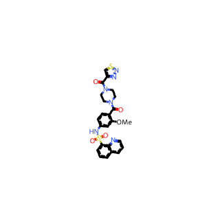 COc1cc(NS(=O)(=O)c2cccc3cccnc23)ccc1C(=O)N1CCN(C(=O)c2csnn2)CC1